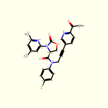 CNC(=O)c1ccc(C#CCN(C(=O)[C@@H]2COC(=O)N2c2cc(C(F)(F)F)cc(C)n2)c2ccc(F)cc2)cn1